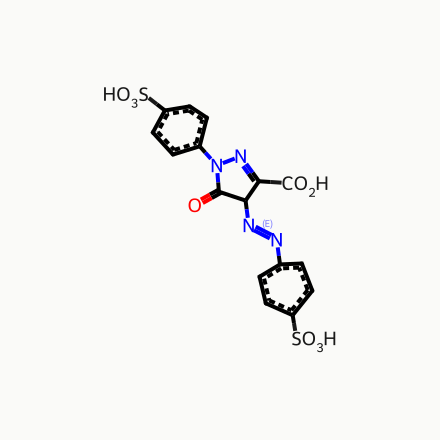 O=C(O)C1=NN(c2ccc(S(=O)(=O)O)cc2)C(=O)C1/N=N/c1ccc(S(=O)(=O)O)cc1